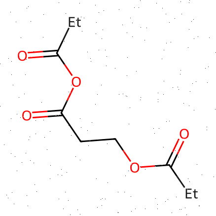 CCC(=O)OCCC(=O)OC(=O)CC